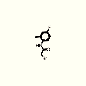 Cc1cc(F)ccc1NC(=O)CBr